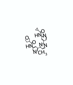 Cc1ncc(NC(=O)C2CCOC2)cc1-c1ccnc(-c2ccnc(NC(=O)C3CC3)c2)n1